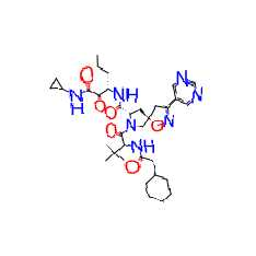 CCC[C@H](NC(=O)[C@@H]1C[C@]2(CC(c3cncnc3)=NO2)CN1C(=O)[C@@H](NC(=O)CC1CCCCC1)C(C)(C)C)C(=O)C(=O)NC1CC1